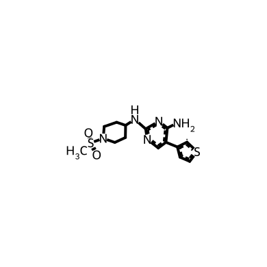 CS(=O)(=O)N1CCC(Nc2ncc(-c3[c]scc3)c(N)n2)CC1